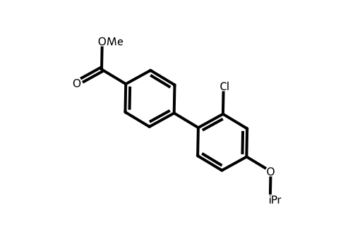 COC(=O)c1ccc(-c2ccc(OC(C)C)cc2Cl)cc1